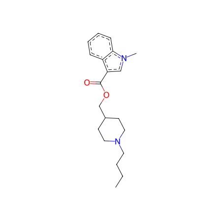 CCCCN1CCC(COC(=O)c2cn(C)c3ccccc23)CC1